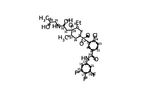 CCC1C[C@@H](S(=O)(=O)c2cc(C(=O)Nc3cc(F)c(F)c(F)c3)ccc2Cl)C[C@H](C)[C@@]1(O)CC(=O)NC[C@H](C)O